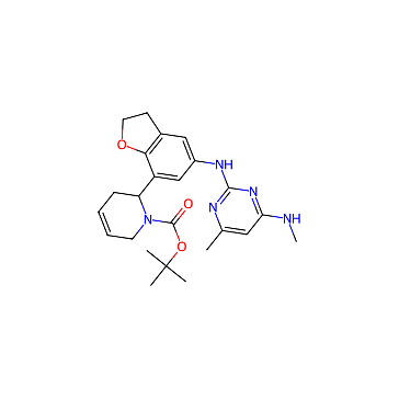 CNc1cc(C)nc(Nc2cc3c(c(C4CC=CCN4C(=O)OC(C)(C)C)c2)OCC3)n1